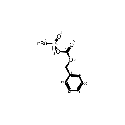 CCCC[PH](=O)OC(=O)OCc1ccccc1